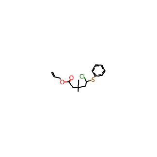 C=CCOC(=O)CC(C)(C)CC(Cl)Sc1ccccc1